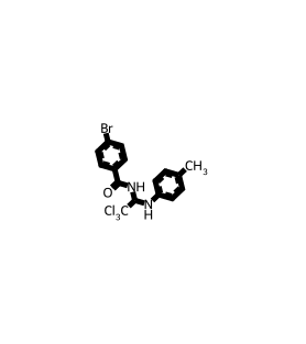 Cc1ccc(NC(NC(=O)c2ccc(Br)cc2)C(Cl)(Cl)Cl)cc1